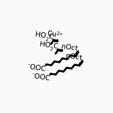 C=C(C)C(=O)O.C=C(C)C(=O)O.CCCCCCCC/C=C\CCCCCCCC(=O)[O-].CCCCCCCC/C=C\CCCCCCCC(=O)[O-].[Cu+2]